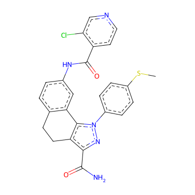 CSc1ccc(-n2nc(C(N)=O)c3c2-c2cc(NC(=O)c4ccncc4Cl)ccc2CC3)cc1